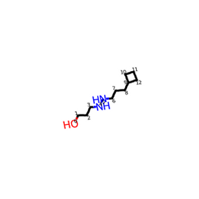 OCCCNNCCCC1CCC1